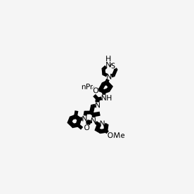 C=C1/C(=C\N=C(/C)Nc2ccc(N3CCNSCC3)cc2OCCC)CN(c2c(C)cccc2C)C(=O)N1c1ccc(OC)cn1